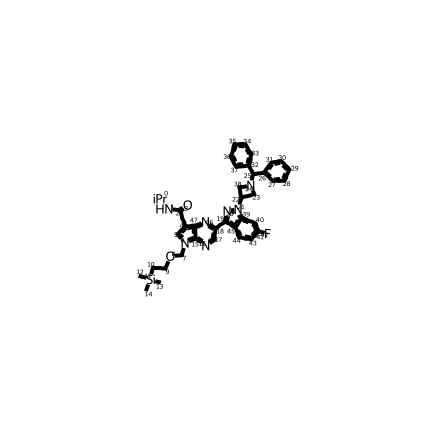 CC(C)NC(=O)c1cn(COCC[Si](C)(C)C)c2ncc(-c3nn(C4CN(C(c5ccccc5)c5ccccc5)C4)c4cc(F)ccc34)nc12